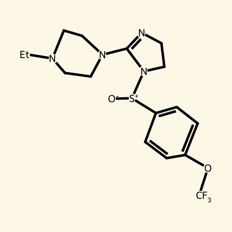 CCN1CCN(C2=NCCN2[S+]([O-])c2ccc(OC(F)(F)F)cc2)CC1